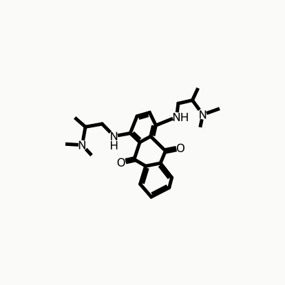 CC(CNc1ccc(NCC(C)N(C)C)c2c1C(=O)c1ccccc1C2=O)N(C)C